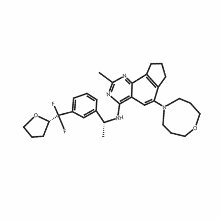 Cc1nc(N[C@H](C)c2cccc(C(F)(F)[C@@H]3CCCO3)c2)c2cc(N3CCCOCCC3)c3c(c2n1)CCC3